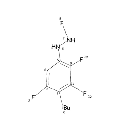 CCC(C)c1c(F)cc(NNF)c(F)c1F